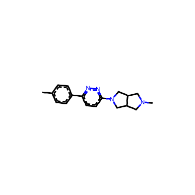 Cc1ccc(-c2ccc(N3CC4CN(C)CC4C3)nn2)cc1